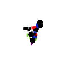 CC(=O)O.O=C(c1ccc(F)c(F)c1Nc1ccc(I)cc1F)N1CC(O)(CNC2CCc3ccccc32)C1